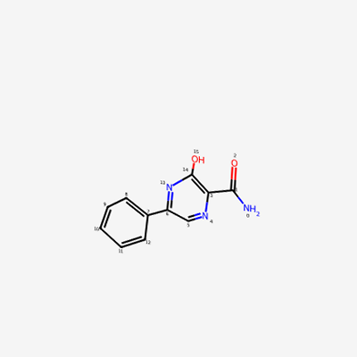 NC(=O)c1ncc(-c2ccccc2)nc1O